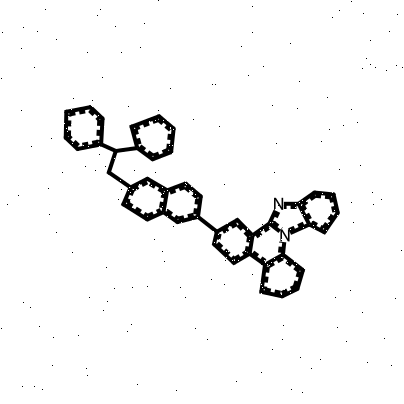 c1ccc(C(Cc2ccc3cc(-c4ccc5c6ccccc6n6c7ccccc7nc6c5c4)ccc3c2)c2ccccc2)cc1